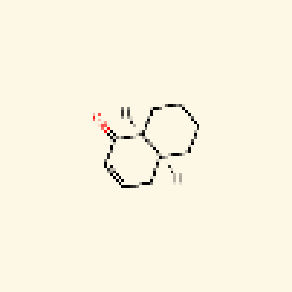 O=C1C=CC[C@@H]2CCCC[C@H]12